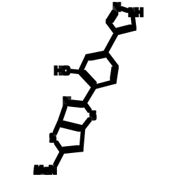 CNc1cc2sc(-c3ccc(-c4cn[nH]c4)cc3O)nc2s1